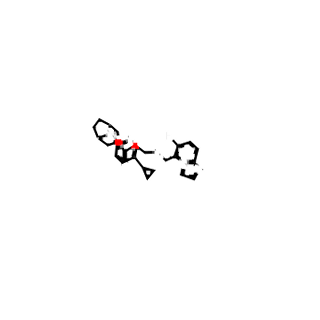 O=C(CCNCc1c(F)ccc2nccn12)N1CC2CCC(C1)N2c1ccc(C2CC2)cn1